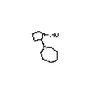 O=CN1CCCC1N1CCCCCC1